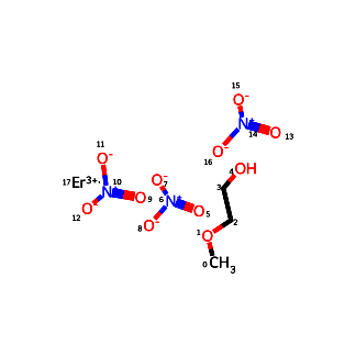 COCCO.O=[N+]([O-])[O-].O=[N+]([O-])[O-].O=[N+]([O-])[O-].[Er+3]